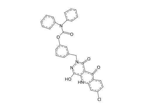 O=C(Oc1cccc(Cn2nc(O)c3[nH]c4cc(Cl)ccc4c(=O)c3c2=O)c1)N(c1ccccc1)c1ccccc1